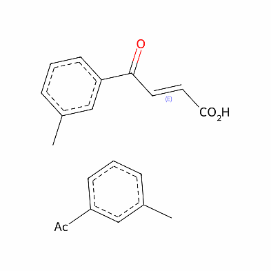 CC(=O)c1cccc(C)c1.Cc1cccc(C(=O)/C=C/C(=O)O)c1